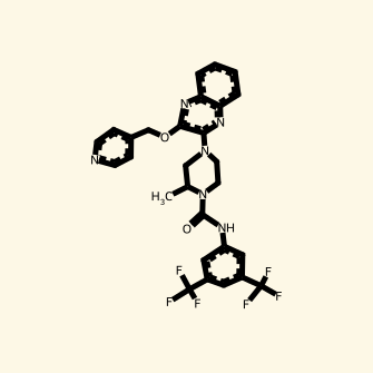 CC1CN(c2nc3ccccc3nc2OCc2ccncc2)CCN1C(=O)Nc1cc(C(F)(F)F)cc(C(F)(F)F)c1